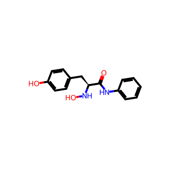 O=C(Nc1ccccc1)[C@H](Cc1ccc(O)cc1)NO